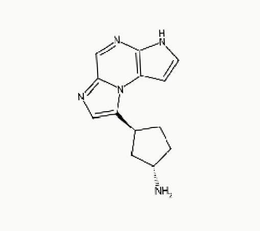 N[C@H]1CC[C@H](c2cnc3cnc4[nH]ccc4n23)C1